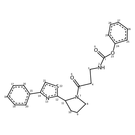 O=C(NCCC(=O)N1CCCC1c1nc(-c2ccccc2)cs1)Oc1ccccc1